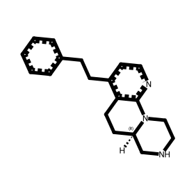 c1ccc(CCc2ccnc3c2CC[C@@H]2CNCCN32)cc1